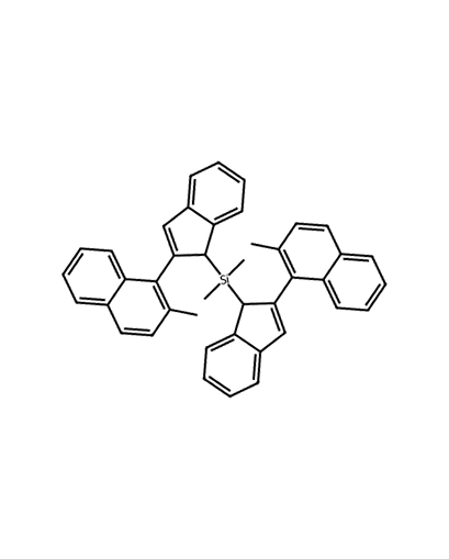 Cc1ccc2ccccc2c1C1=Cc2ccccc2C1[Si](C)(C)C1C(c2c(C)ccc3ccccc23)=Cc2ccccc21